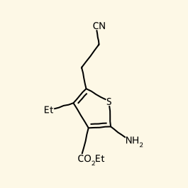 CCOC(=O)c1c(N)sc(CCC#N)c1CC